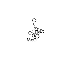 CCN1CC[C@]23c4c5ccc(OC)c4OC2C(=O)CC[C@@]3(OCCCc2ccccc2)[C@H]1C5